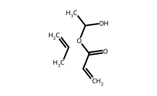 C=CC.C=CC(=O)OC(C)O